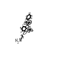 NCCOc1cccc2c1S(=O)(=O)CC2S(=O)(=O)c1ccccc1